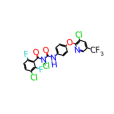 O=C(Nc1ccc(Oc2ncc(C(F)(F)F)cc2Cl)cc1)N(Cl)C(=O)c1c(F)ccc(Cl)c1F